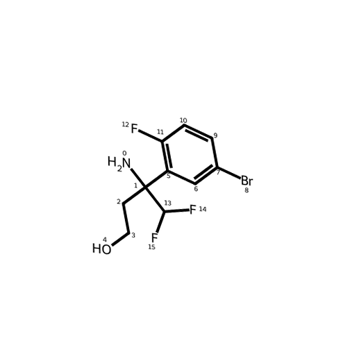 NC(CCO)(c1cc(Br)ccc1F)C(F)F